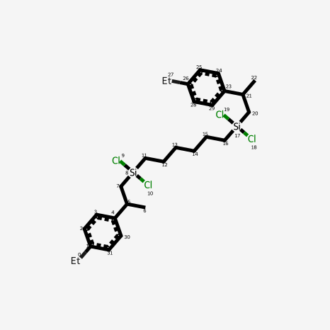 CCc1ccc(C(C)C[Si](Cl)(Cl)CCCCCC[Si](Cl)(Cl)CC(C)c2ccc(CC)cc2)cc1